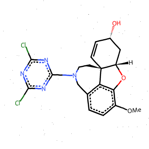 COc1ccc2c3c1O[C@H]1C[C@@H](O)C=C[C@@]31CCN(c1nc(Cl)nc(Cl)n1)C2